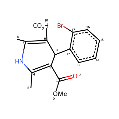 COC(=O)C1=C(C)NC(C)=C(C(=O)O)C1c1ccccc1Br